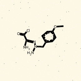 COc1ccc(CN(N)/N=C(\N)C(=O)Cl)cc1